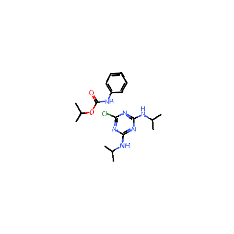 CC(C)Nc1nc(Cl)nc(NC(C)C)n1.CC(C)OC(=O)Nc1ccccc1